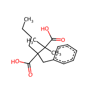 CCCCC(Cc1ccccc1)(C(=O)O)C(C)(C)C(=O)O